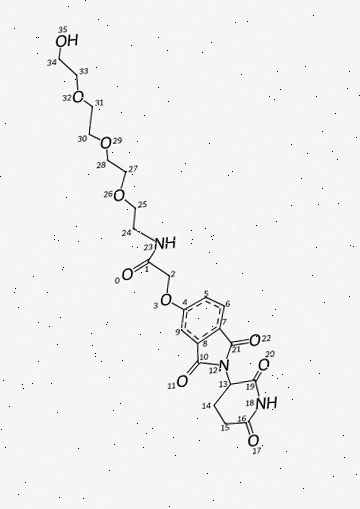 O=C(COc1ccc2c(c1)C(=O)N(C1CCC(=O)NC1=O)C2=O)NCCOCCOCCOCCO